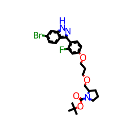 CC(C)(C)OC(=O)N1CCCC1COCCCOc1ccc(-c2n[nH]c3cc(Br)ccc23)c(F)c1